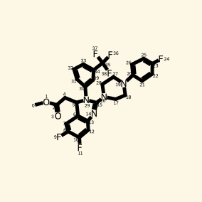 COC(=O)CC1c2cc(F)c(F)cc2N=C(N2CCN(c3ccc(F)cc3)CC2)N1c1cccc(C(F)(F)F)c1